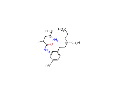 CC(C[C@H](N)C(=O)O)C(N)=O.CCCc1ccc(CC[C@H](CCC(=O)O)C(=O)O)cc1